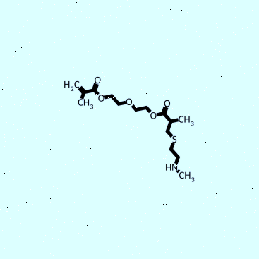 C=C(C)C(=O)OCCOCCOC(=O)C(C)CSCCNC